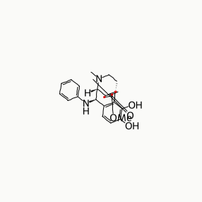 COC1=CC2[C@@H]3[C@H](Nc4ccccc4)c4ccc(O)c(O)c4[C@]2(CCN3C)CC1=O